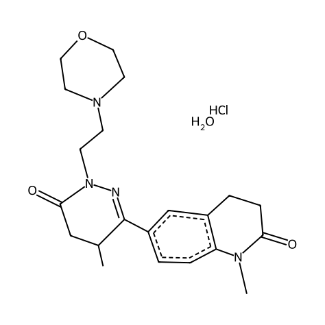 CC1CC(=O)N(CCN2CCOCC2)N=C1c1ccc2c(c1)CCC(=O)N2C.Cl.O